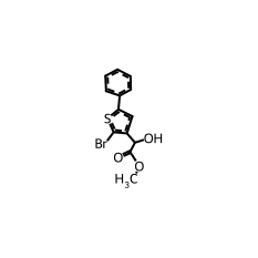 COC(=O)C(O)c1cc(-c2ccccc2)sc1Br